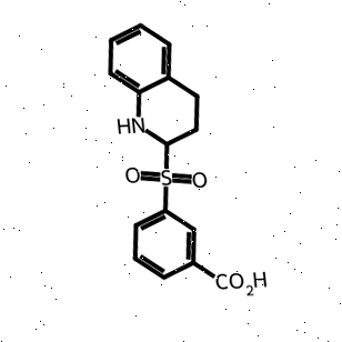 O=C(O)c1cccc(S(=O)(=O)C2CCc3ccccc3N2)c1